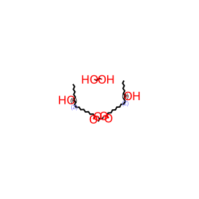 CCCCCC[C@@H](O)C/C=C\CCCCCCCC(=O)OCC(C)OC(=O)CCCCCCC/C=C\C[C@H](O)CCCCCC.OCCO